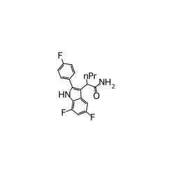 CCCC(C(N)=O)c1c(-c2ccc(F)cc2)[nH]c2c(F)cc(F)cc12